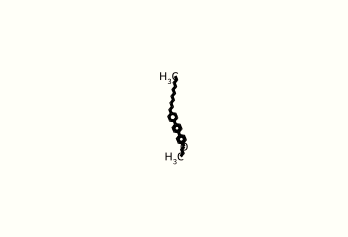 CCCCCCCCCCCC1CCC(c2ccc(-c3ccc(OCCC)cc3)cc2)CC1